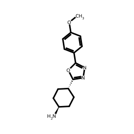 COc1ccc(-c2nnc([C@H]3CC[C@H](N)CC3)o2)cc1